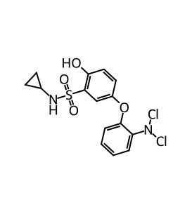 O=S(=O)(NC1CC1)c1cc(Oc2ccccc2N(Cl)Cl)ccc1O